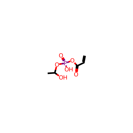 C=CC(=O)OP(=O)(O)OC(C)O